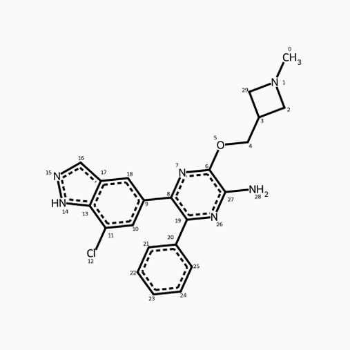 CN1CC(COc2nc(-c3cc(Cl)c4[nH]ncc4c3)c(-c3ccccc3)nc2N)C1